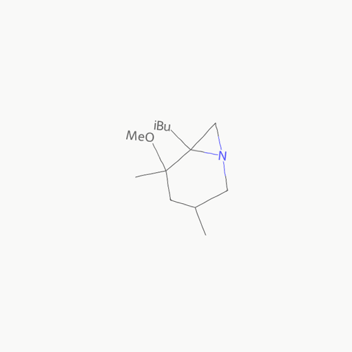 CCC(C)C12CN1CC(C)CC2(C)OC